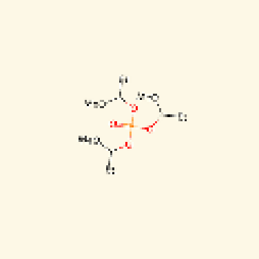 CCC(OC)OP(=O)(OC(CC)OC)OC(CC)OC